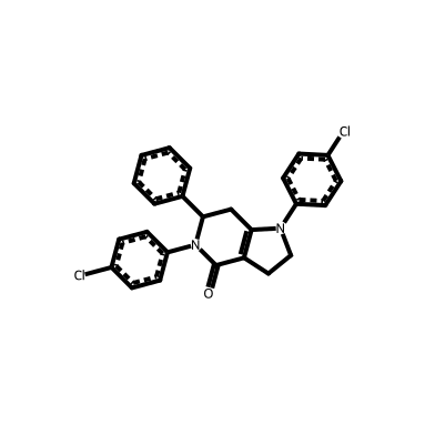 O=C1C2=C(CC(c3ccccc3)N1c1ccc(Cl)cc1)N(c1ccc(Cl)cc1)CC2